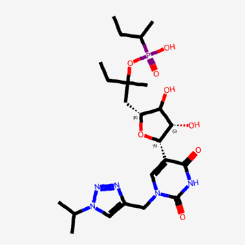 CCC(C)P(=O)(O)OC(C)(CC)C[C@H]1O[C@@H](c2cn(Cc3cn(C(C)C)nn3)c(=O)[nH]c2=O)[C@@H](O)C1O